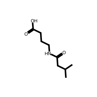 CC(C)CC(=O)NCCCC(=O)O